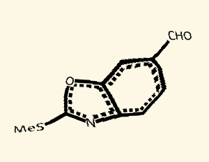 CSc1nc2ccc(C=O)cc2o1